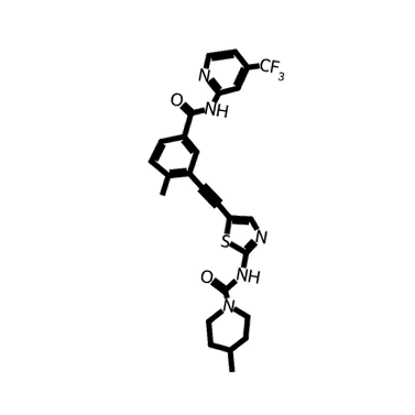 Cc1ccc(C(=O)Nc2cc(C(F)(F)F)ccn2)cc1C#Cc1cnc(NC(=O)N2CCC(C)CC2)s1